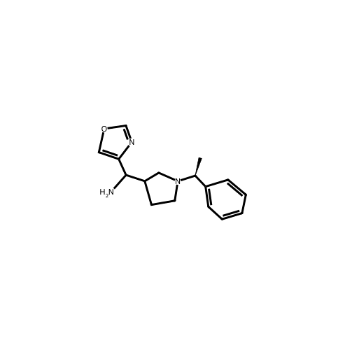 C[C@@H](c1ccccc1)N1CCC(C(N)c2cocn2)C1